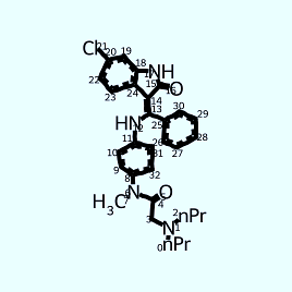 CCCN(CCC)CC(=O)N(C)c1ccc(NC(=C2C(=O)Nc3cc(Cl)ccc32)c2ccccc2)cc1